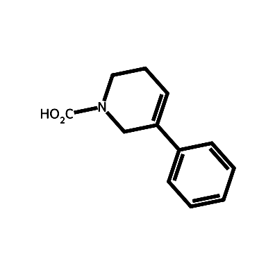 O=C(O)N1CCC=C(c2ccccc2)C1